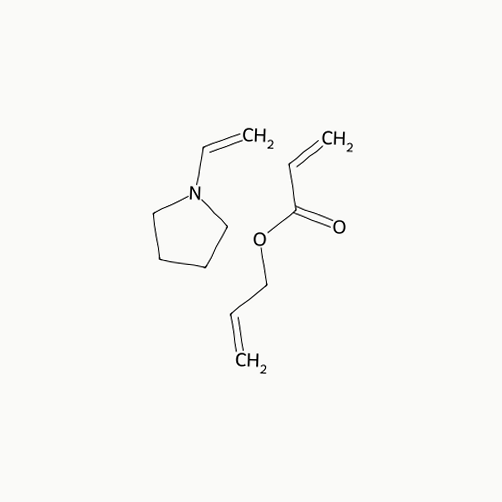 C=CCOC(=O)C=C.C=CN1CCCC1